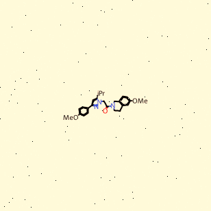 COc1ccc(-c2cc(C(C)C)n(CC(=O)N3CCc4cc(OC)ccc4C3)n2)cc1